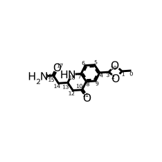 CC1OC(c2ccc3c(c2)C(=O)CC(CC(N)=O)N3)O1